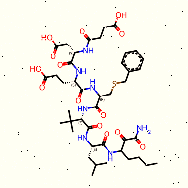 CCCCC(NC(=O)[C@H](CC(C)C)NC(=O)[C@@H](NC(=O)[C@H](CSCc1ccccc1)NC(=O)[C@H](CCC(=O)O)NC(=O)[C@H](CC(=O)O)NC(=O)CCC(=O)O)C(C)(C)C)C(=O)C(N)=O